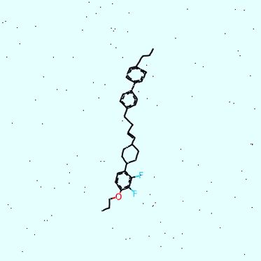 CCCOc1ccc(C2CCC(/C=C/CCc3ccc(-c4ccc(CCC)cc4)cc3)CC2)c(F)c1F